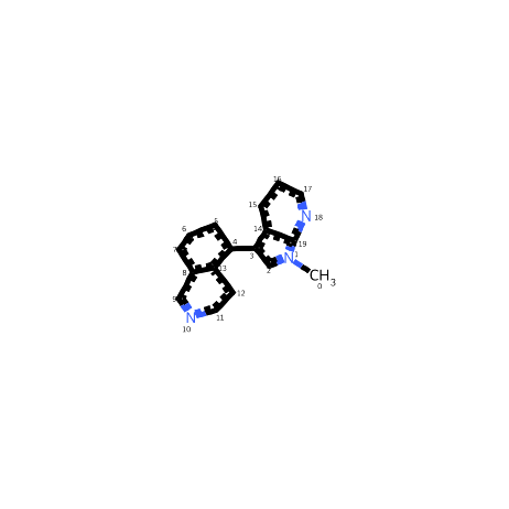 Cn1cc(-c2cccc3cnccc23)c2cccnc21